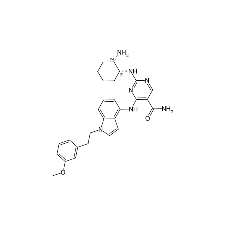 COc1cccc(CCn2ccc3c(Nc4nc(N[C@@H]5CCCC[C@@H]5N)ncc4C(N)=O)cccc32)c1